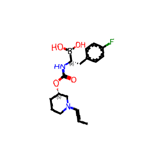 CC=CN1CCC[C@H](OC(=O)N[C@@H](Cc2ccc(F)cc2)B(O)O)C1